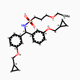 COCOCCCS(=O)(=O)NC(c1cccc(OCC2CC2)c1)c1cccc(OCC2CC2)c1